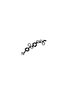 C=CC(=O)OCOc1ccc(OC(=O)c2ccc(C#N)cc2)cc1